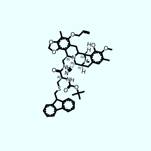 C=CCOc1c(C)c2c(c3c1CC1[C@@H]4c5c(cc(C)c(OC)c5O)C[C@@H]([C@H](C#N)N1[C@H]3CNC(=O)[C@H](CSCC1c3ccccc3-c3ccccc31)NC(=O)OC(C)(C)C)N4C)OCO2